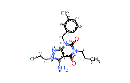 CCCn1c(=O)c2c(N)n(CCCl)nc2n(Cc2cccc(Cl)c2)c1=O